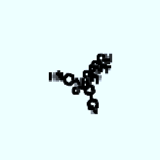 CNC1CCC(NC(=O)c2cc(-c3ccncc3)ccc2C)CC1.O=C(O)C(F)(F)F.O=C(O)C(F)(F)F